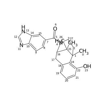 CC12CCN(C(=O)c3ccc4nc[nH]c4c3)C(Cc3cccc(O)c31)C2(C)C